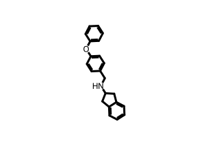 c1ccc(Oc2ccc(CNC3Cc4ccccc4C3)cc2)cc1